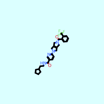 O=C(NCCC1CCCC1)c1ccc(N2CC3=C(CN(C(=O)c4ccccc4C(F)(F)F)C3)C2)nc1